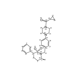 C[C@H]1CCC(c2ccccc2)S(=O)(=O)N1Cc1ccc(N2CCN(C(=O)C3CC3)CC2)cc1